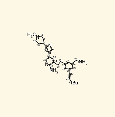 CN1CCC(c2ncc(-c3cnc(N)c(CCc4cc(C#CC(C)(C)C)cc(CN)c4)c3)s2)CC1